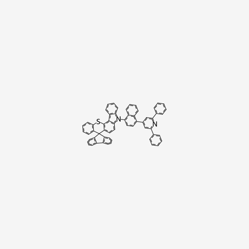 c1ccc(-c2cc(-c3ccc(-n4c5ccccc5c5c6c(ccc54)C4(c5ccccc5S6)c5ccccc5-c5ccccc54)c4ccccc34)cc(-c3ccccc3)n2)cc1